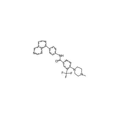 CN1CCN(c2ccc(C(=O)Nc3ccc(-c4cccc5cnccc45)cc3)cc2C(F)(F)F)CC1